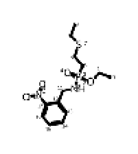 CCOP(=O)(CCSCC)NCc1ccccc1[N+](=O)[O-]